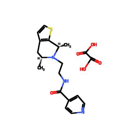 C[C@@H]1Cc2ccsc2[C@H](C)N1CCNC(=O)c1ccncc1.O=C(O)C(=O)O